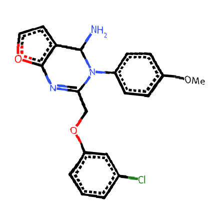 COc1ccc(N2C(COc3cccc(Cl)c3)=Nc3occc3C2N)cc1